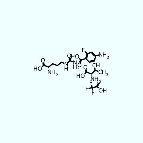 CC(C)[C@H](N)C(=O)O.NC(=O)NCCC[C@H](N)C(=O)O.Nc1ccc(C(=O)O)c(F)c1.O=C(O)C(F)(F)F